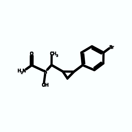 CC(C1CC1c1ccc(Br)cc1)N(O)C(N)=O